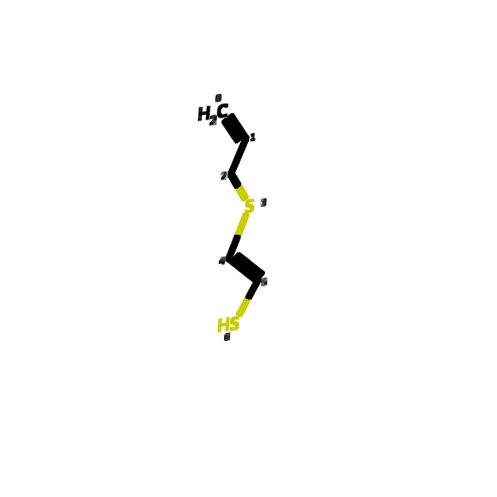 C=CCSC=CS